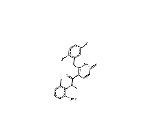 C=C/C=C\C(C(=O)N(C)c1c(C)cccc1OC)=C(/N)Oc1cc(Cl)ccc1Cl